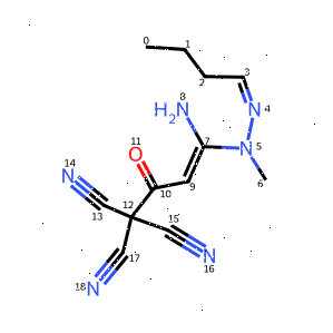 CCC/C=N\N(C)/C(N)=C/C(=O)C(C#N)(C#N)C#N